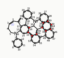 C=C1/C=C\CCN(c2ccccc2)c2cccc(-c3ccccc3N(c3cccc4ccccc34)C3CC=CC=C3c3cccc4cccc(-c5ccccc5)c34)c21